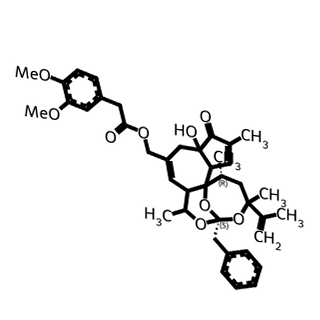 C=C(C)C1(C)C[C@@H](C)C23O[C@](Cc4ccccc4)(OC(C)C2C=C(COC(=O)Cc2ccc(OC)c(OC)c2)CC2(O)C(=O)C(C)=CC23)O1